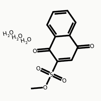 COS(=O)(=O)C1=CC(=O)c2ccccc2C1=O.O.O.O